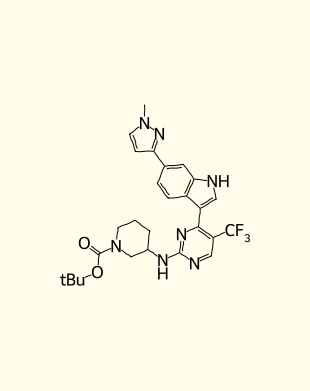 Cn1ccc(-c2ccc3c(-c4nc(NC5CCCN(C(=O)OC(C)(C)C)C5)ncc4C(F)(F)F)c[nH]c3c2)n1